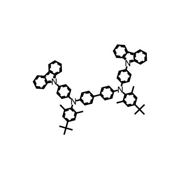 Cc1cc(C(C)(C)C)cc(C)c1N(c1ccc(-c2ccc(N(c3ccc(-n4c5ccccc5c5ccccc54)cc3)c3c(C)cc(C(C)(C)C)cc3C)cc2)cc1)c1ccc(-n2c3ccccc3c3ccccc32)cc1